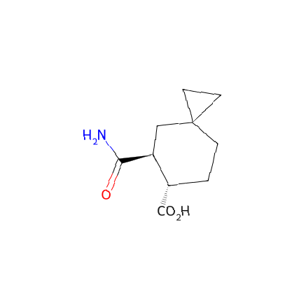 NC(=O)[C@H]1CC2(CC[C@@H]1C(=O)O)CC2